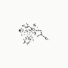 Cc1ccc([Si](C)(C)C)c([C@@H]2[C@H]3CC[C@H](C3)[C@@H]2[Si](C)(C)C)c1